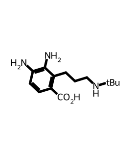 CC(C)(C)NCCCc1c(C(=O)O)ccc(N)c1N